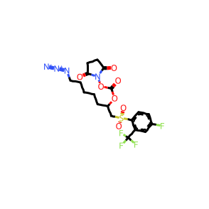 [N-]=[N+]=NCCCCCC(CS(=O)(=O)c1ccc(F)cc1C(F)(F)F)OC(=O)ON1C(=O)CCC1=O